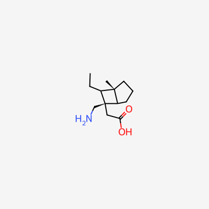 CCC1[C@]2(C)CCCC2[C@]1(CN)CC(=O)O